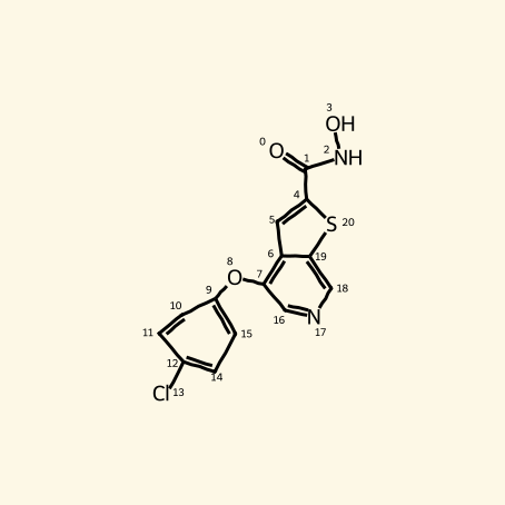 O=C(NO)c1cc2c(Oc3ccc(Cl)cc3)cncc2s1